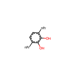 CCCc1ccc(CCC)c(O)c1O